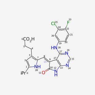 CC(C)c1cc(CCC(=O)O)c(/C=C2\C(=O)Nc3ncnc(Nc4ccc(F)c(Cl)c4)c32)[nH]1